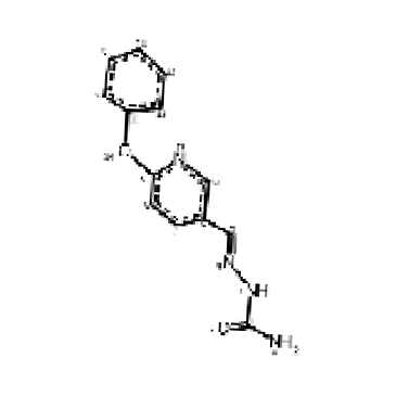 NC(=O)NN=Cc1ccc(Oc2ccccc2)nc1